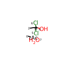 CC(C)=O.CC(O)(Cl)Cl.O